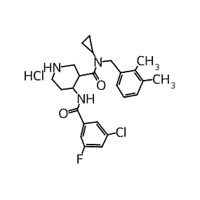 Cc1cccc(CN(C(=O)C2CNCCC2NC(=O)c2cc(F)cc(Cl)c2)C2CC2)c1C.Cl